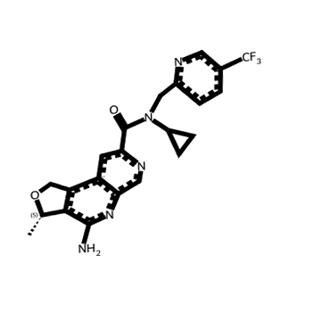 C[C@@H]1OCc2c1c(N)nc1cnc(C(=O)N(Cc3ccc(C(F)(F)F)cn3)C3CC3)cc21